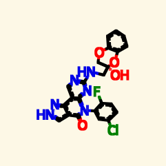 O=c1c2c[nH]nc2c2cnc(NC[C@@]3(O)COc4ccccc4O3)nc2n1-c1cc(Cl)ccc1F